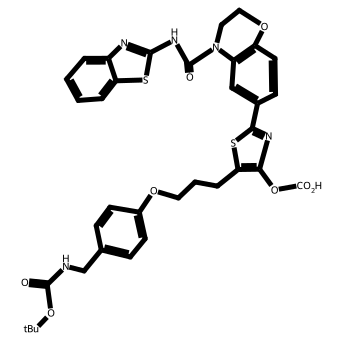 CC(C)(C)OC(=O)NCc1ccc(OCCCc2sc(-c3ccc4c(c3)N(C(=O)Nc3nc5ccccc5s3)CCO4)nc2OC(=O)O)cc1